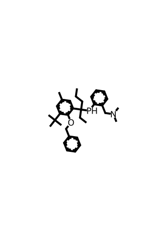 CCCC(CC)(Pc1ccccc1CN(C)C)c1cc(C)cc(C(C)(C)C)c1OCc1ccccc1